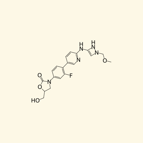 COCn1cc(Nc2ccc(-c3ccc(N4CC(CO)OC4=O)cc3F)cn2)[nH]1